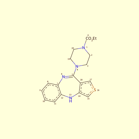 CCOC(=O)N1CCN(C2=Nc3ccccc3Nc3cscc32)CC1